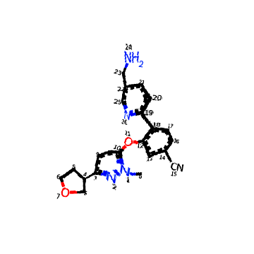 Cn1nc([C@@H]2CCOC2)cc1Oc1cc(C#N)ccc1-c1ccc(CN)cn1